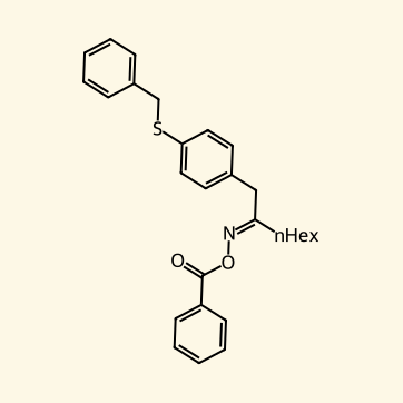 CCCCCCC(Cc1ccc(SCc2ccccc2)cc1)=NOC(=O)c1ccccc1